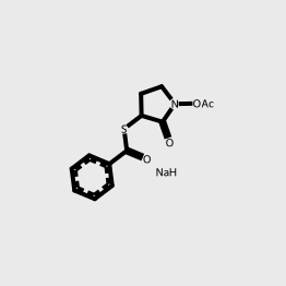 CC(=O)ON1CCC(SC(=O)c2ccccc2)C1=O.[NaH]